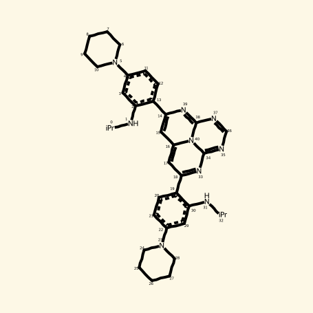 CC(C)Nc1cc(N2CCCCC2)ccc1C1=CC2=CC(c3ccc(N4CCCCC4)cc3NC(C)C)=NC3=NC=NC(=N1)N23